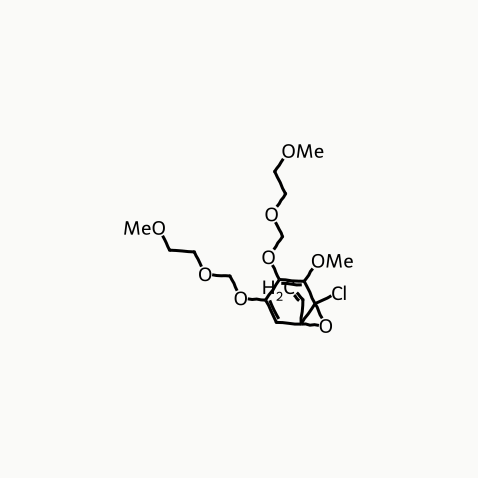 C=CC12C=C(OCOCCOC)C(OCOCCOC)=C(OC)C1(Cl)O2